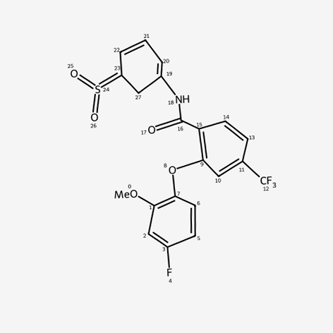 COc1cc(F)ccc1Oc1cc(C(F)(F)F)ccc1C(=O)NC1=CC=CC(=S(=O)=O)C1